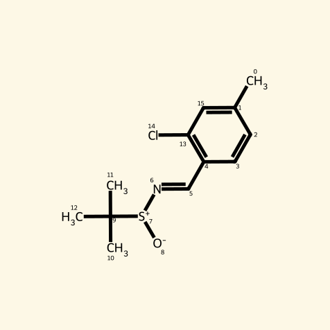 Cc1ccc(/C=N/[S+]([O-])C(C)(C)C)c(Cl)c1